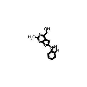 Cc1nc(CO)c2cc(-n3nnc4ccccc43)sc2n1